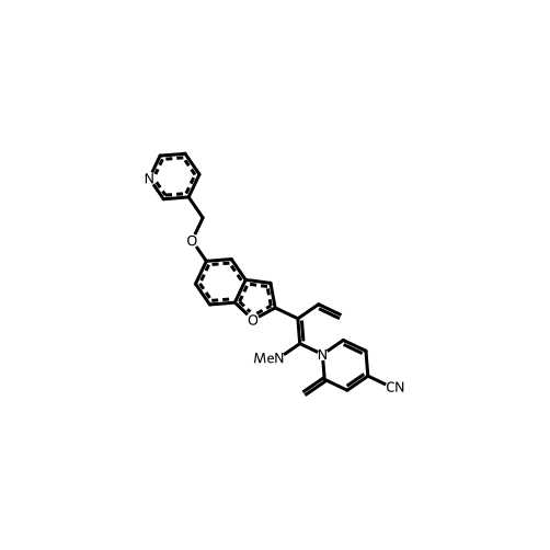 C=C/C(=C(/NC)N1C=CC(C#N)=CC1=C)c1cc2cc(OCc3cccnc3)ccc2o1